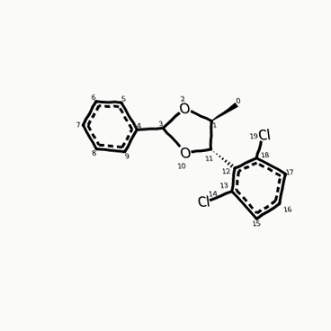 C[C@@H]1OC(c2ccccc2)O[C@H]1c1c(Cl)cccc1Cl